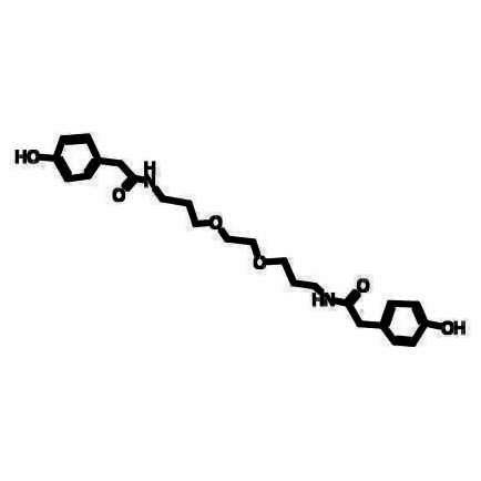 O=C(Cc1ccc(O)cc1)NCCCOCCOCCCNC(=O)Cc1ccc(O)cc1